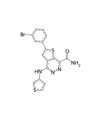 NC(=O)c1nnc(Nc2ccsc2)c2cc(-c3cccc(Br)c3)sc12